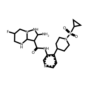 NC1NN2CC(F)CNC2C1C(=O)Nc1cnccc1C1CCN(S(=O)(=O)C2CC2)CC1